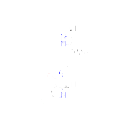 COc1cc(C)nn1C[C@H]1CC[C@H](NC(=O)c2cc(Cl)cnc2C)CC1